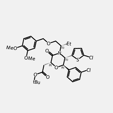 CC[C@@H](COCc1ccc(OC)c(OC)c1)N1C(=O)[C@@H](CC(=O)OC(C)(C)C)O[C@H](c2cccc(Cl)c2)[C@H]1c1ccc(Cl)s1